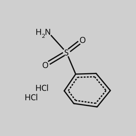 Cl.Cl.NS(=O)(=O)c1ccccc1